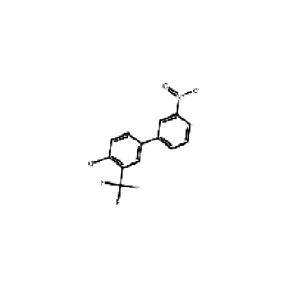 O=[N+]([O-])c1[c]ccc(-c2ccc(Cl)c(C(F)(F)F)c2)c1